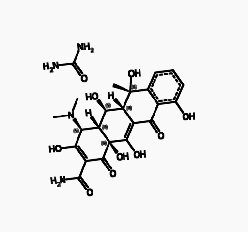 CN(C)[C@@H]1C(O)=C(C(N)=O)C(=O)[C@@]2(O)C(O)=C3C(=O)c4c(O)cccc4[C@@](C)(O)[C@H]3[C@H](O)[C@@H]12.NC(N)=O